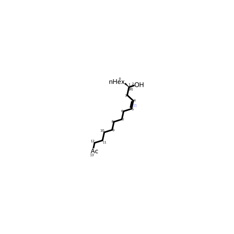 CCCCCC[C@@H](O)C/C=C\CCCCCCCC(C)=O